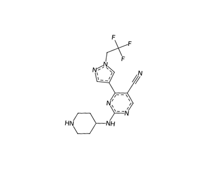 N#Cc1cnc(NC2CCNCC2)nc1-c1cnn(CC(F)(F)F)c1